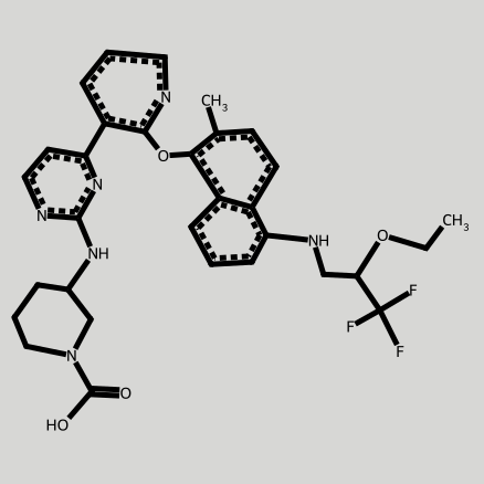 CCOC(CNc1cccc2c(Oc3ncccc3-c3ccnc(NC4CCCN(C(=O)O)C4)n3)c(C)ccc12)C(F)(F)F